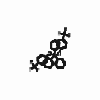 FC(F)(F)c1ccc(OP(Oc2ccc(C(F)(F)F)cc2)(c2ccccc2)(c2ccccc2)c2ccccc2)cc1